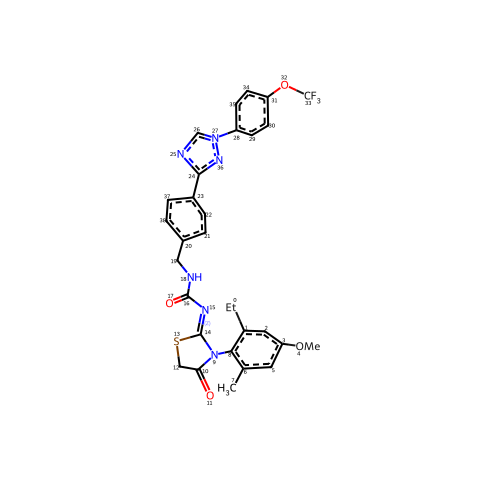 CCc1cc(OC)cc(C)c1N1C(=O)CS/C1=N\C(=O)NCc1ccc(-c2ncn(-c3ccc(OC(F)(F)F)cc3)n2)cc1